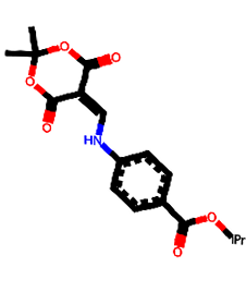 CC(C)OC(=O)c1ccc(NC=C2C(=O)OC(C)(C)OC2=O)cc1